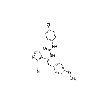 COc1ccc(C[C@H](NC(=O)Nc2ccc(Cl)cc2)c2ocnc2C#N)cc1